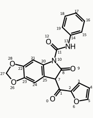 O=C(c1ccco1)C1C(=O)N(C(=O)Nc2ccccc2)c2cc3c(cc21)OCO3